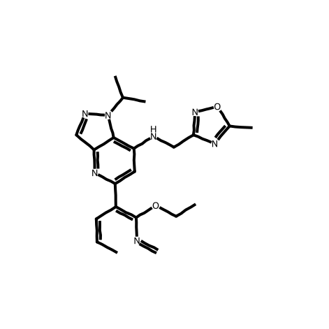 C=N/C(OCC)=C(\C=C/C)c1cc(NCc2noc(C)n2)c2c(cnn2C(C)C)n1